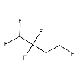 FCCC(F)(F)C(F)F